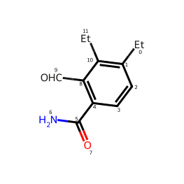 CCc1ccc(C(N)=O)c(C=O)c1CC